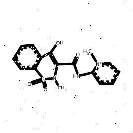 CN1C(C(=O)Nc2cccc[n+]2C)=C(O)c2ccccc2S1(=O)=O